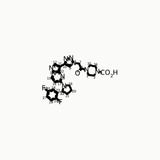 O=C(O)N1CCN(C(=O)Cn2cc(-c3cnn4ccc(N5CCC[C@@H]5c5cc(F)ccc5F)nc34)nn2)CC1